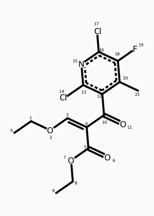 CCOC=C(C(=O)OCC)C(=O)c1c(Cl)nc(Cl)c(F)c1C